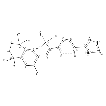 Cc1cc2c(cc1C=C(c1ccc(-c3nnn[nH]3)cc1)C(F)(F)F)C(C)(C)CCC2(C)C